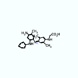 C=C1C=C(NCC(=O)O)C(C)=C/C1=N/c1cc(C)c(N)cc1Nc1ccccc1